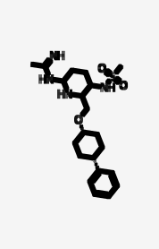 CC(=N)NC1CCC(NS(C)(=O)=O)C(CO[C@H]2CC[C@@H](c3ccccc3)CC2)N1